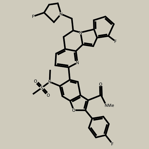 CNC(=O)c1c(-c2ccc(F)cc2)oc2cc(N(C)S(C)(=O)=O)c(-c3ccc4c(n3)-c3cc5c(F)cccc5n3C(CN3CCC(F)C3)C4)cc12